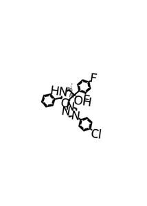 C[C@@H](NC(=O)c1ccccc1)[C@](O)(CN1CN(c2ccc(Cl)cc2)C=N1)c1ccc(F)cc1F